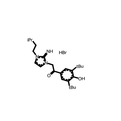 Br.CC(C)CCn1ccn(CC(=O)c2cc(C(C)(C)C)c(O)c(C(C)(C)C)c2)c1=N